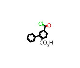 O=C(Cl)c1ccc(C(=O)O)c(-c2ccccc2)c1